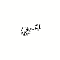 O=C(O)N1CCC[C@@H]2C(OCc3ccccc3)CC[C@@H]21